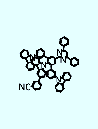 N#Cc1cccc(-c2ccc3c(c2)c2ccccc2n3-c2c(-c3cccc(-n4c5ccccc5c5ccccc54)c3)cc(-c3nc(-c4ccccc4)cc(-c4ccccc4)n3)cc2-c2cccc(-n3c4ccccc4c4ccccc43)c2)c1